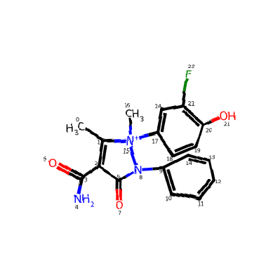 CC1=C(C(N)=O)C(=O)N(c2ccccc2)[N+]1(C)c1ccc(O)c(F)c1